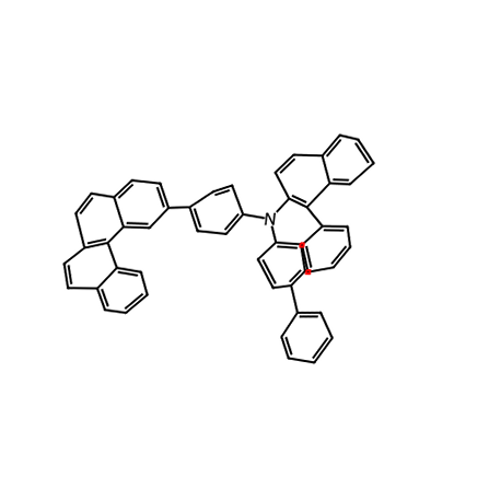 c1ccc(-c2ccc(N(c3ccc(-c4ccc5ccc6ccc7ccccc7c6c5c4)cc3)c3ccc4ccccc4c3-c3ccccc3)cc2)cc1